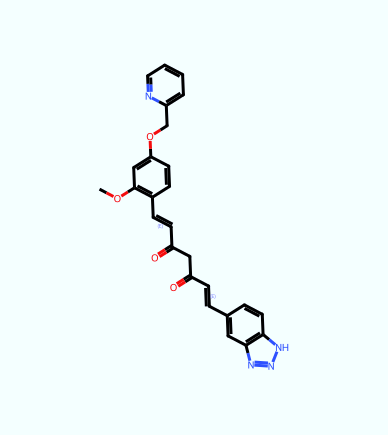 COc1cc(OCc2ccccn2)ccc1/C=C/C(=O)CC(=O)/C=C/c1ccc2[nH]nnc2c1